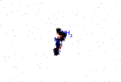 CC1=CC(C)=[N+]2B(F)n3c(ccc3CCC(=O)N3CCN(C/C=C(\C#N)C(=O)Nc4cccc(Oc5ncnc(N)c5-c5ccc(Oc6ccccc6)cc5)c4)CC3)C=C12